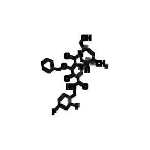 C[C@@H]1C=C[C@H](CO)N2C[C@H]1n1cc(C(=O)NCc3ccc(F)cc3F)c(=O)c(OCc3ccccc3)c1C2=O